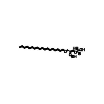 CCCCCCCCCCCCCCCCCCOC[C@H](COP(=O)(O)O)OO